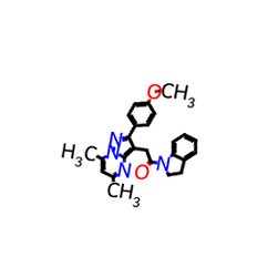 COc1ccc(-c2nn3c(C)cc(C)nc3c2CC(=O)N2CCc3ccccc32)cc1